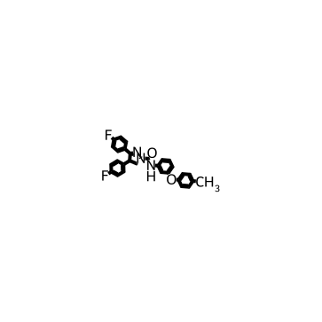 Cc1ccc(Oc2cccc(NC(=O)N3CC(c4ccc(F)cc4)C(c4ccc(F)cc4)=N3)c2)cc1